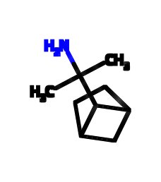 CC(C)(N)C1C2CCC1C2